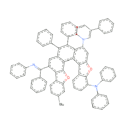 CC(C)(C)c1ccc2c(c1)oc1c2c(/C(=N/c2ccccc2)c2ccccc2)cc2c(-c3ccccc3)c(-c3ccccc3)c3c(N4C=C(c5ccccc5)C=CC4)cc4oc5c(N(c6ccccc6)c6ccccc6)cccc5c4c3c21